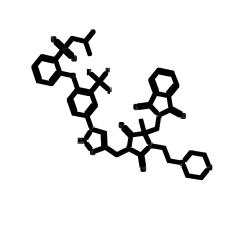 CC(C)CS(=O)(=O)c1ccccc1Oc1ccc(N2C=C(CN3C(=O)N(CCN4CCOCC4)C(C)(CN4C(=O)c5ccccc5C4=O)C3=O)ON2)cc1C(F)(F)F